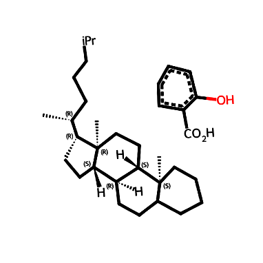 CC(C)CCC[C@@H](C)[C@H]1CC[C@H]2[C@@H]3CCC4CCCC[C@]4(C)[C@H]3CC[C@]12C.O=C(O)c1ccccc1O